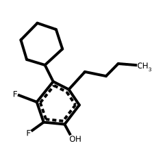 CCCCc1cc(O)c(F)c(F)c1C1CCCCC1